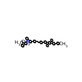 Cc1ccc(-c2ccc3c(c2)C2(CCCC2)c2cc4c(cc2-3)C2(CCCC2)c2cc(-c3ccc(/C=C/c5ccc(-c6ccc7c(c6)c6ccccc6n7-c6ccc7c(c6)C(C)(C)c6ccccc6-7)cc5)cc3)ccc2-4)cc1